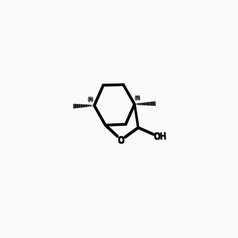 C[C@@H]1CC[C@]2(C)CC1OC2O